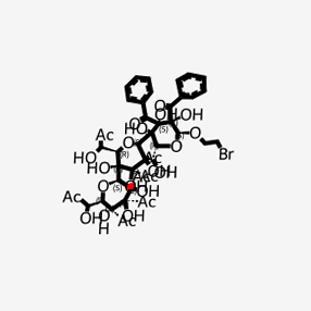 CC(=O)C(O)[C@H]1O[C@@H]([C@@]2(O)[C@@H](CO)O[C@H](OCCBr)[C@@](O)(C(=O)c3ccccc3)[C@]2(O)C(=O)c2ccccc2)[C@@](O)(C(C)=O)[C@](O)(C(C)=O)[C@]1(O)[C@@H]1O[C@H](C(O)C(C)=O)[C@@](O)(C(C)=O)[C@@](O)(C(C)=O)[C@]1(O)C(C)=O